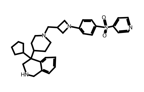 O=S(=O)(c1ccncc1)c1ccc(N2CC(CN3CCC(C4(C5CCCC5)CNCc5ccccc54)CC3)C2)cc1